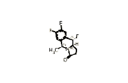 C[C@H]1c2cc(F)c(F)cc2[C@H](F)[C@H]2CCC(=O)N21